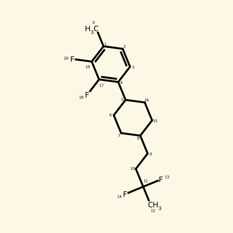 Cc1ccc(C2CCC(CCC(C)(F)F)CC2)c(F)c1F